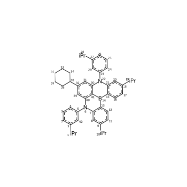 CC(C)c1cccc(N2c3cc(C(C)C)ccc3B3c4ccc(C(C)C)cc4N(c4cccc(C(C)C)c4)c4cc(C5CCCCC5)cc2c43)c1